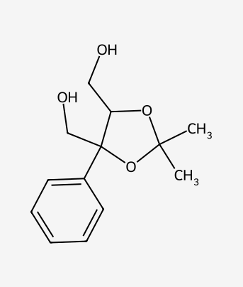 CC1(C)OC(CO)C(CO)(c2ccccc2)O1